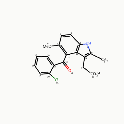 COc1ccc2[nH]c(C)c(CC(=O)O)c2c1C(=O)c1ccccc1Cl